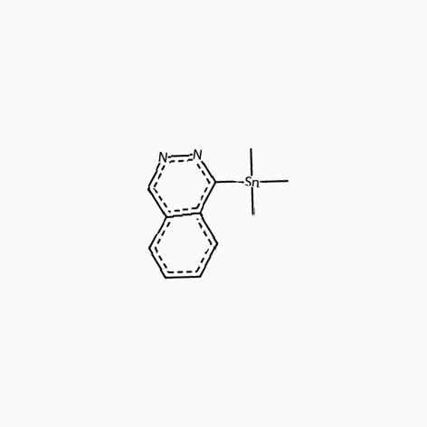 [CH3][Sn]([CH3])([CH3])[c]1nncc2ccccc12